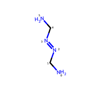 NCN=NCN